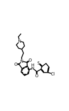 CCN1CCC(CCN2C(=O)c3cccc(NC(=O)C4=CC(Cl)=CCC4=S)c3C2=O)CC1